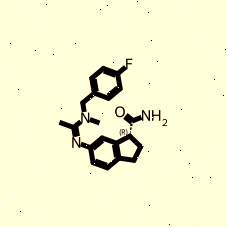 CC(=Nc1ccc2c(c1)[C@H](C(N)=O)CC2)N(C)Cc1ccc(F)cc1